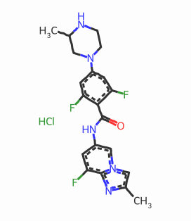 Cc1cn2cc(NC(=O)c3c(F)cc(N4CCNC(C)C4)cc3F)cc(F)c2n1.Cl